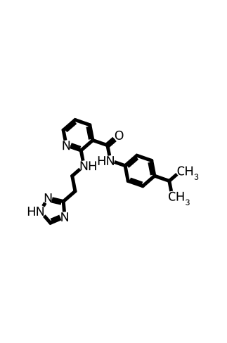 CC(C)c1ccc(NC(=O)c2cccnc2NCCc2nc[nH]n2)cc1